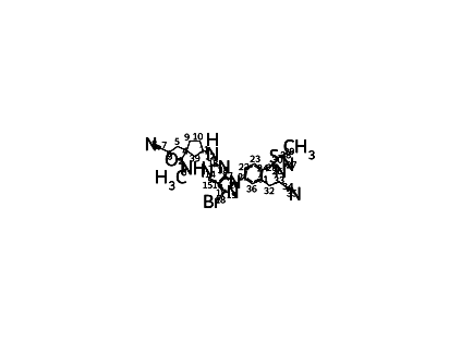 CNC(=O)C1(CCC#N)CC[C@@H](Nc2ncc3c(Br)nn(-c4ccc(-c5nnc(C)s5)c(CCC#N)c4)c3n2)C1